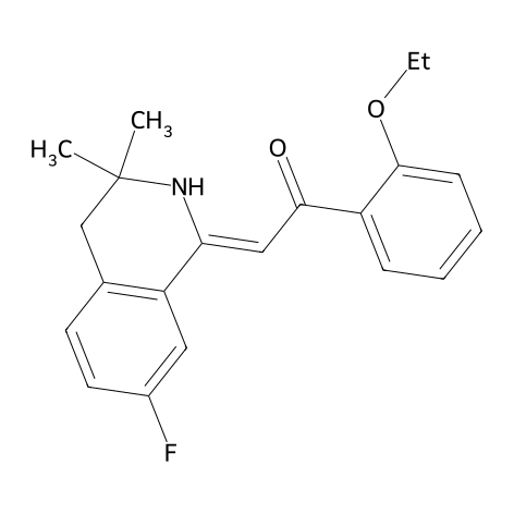 CCOc1ccccc1C(=O)C=C1NC(C)(C)Cc2ccc(F)cc21